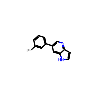 CC(C)c1cccc(-c2cnc3cc[nH]c3c2)c1